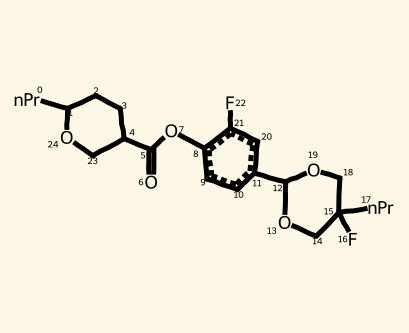 CCCC1CCC(C(=O)Oc2ccc(C3OCC(F)(CCC)CO3)cc2F)CO1